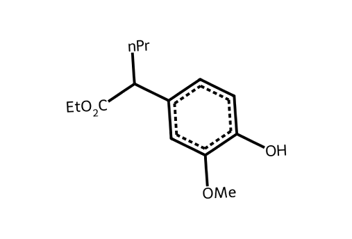 CCCC(C(=O)OCC)c1ccc(O)c(OC)c1